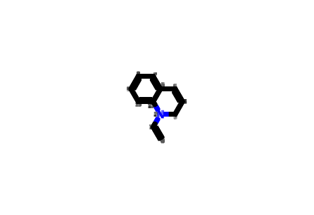 C=CN1CC=Cc2ccccc21